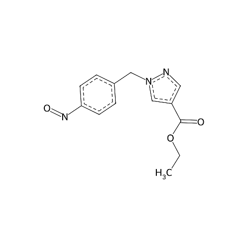 CCOC(=O)c1cnn(Cc2ccc(N=O)cc2)c1